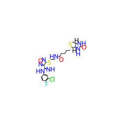 N=C(Nc1ccc(F)c(Cl)c1)c1nonc1SCCNC(=O)CCCC[C@@H]1SC[C@@H]2NC(=O)N[C@@H]21